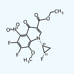 CCOC(=O)c1cn([C@@H]2C[C@@H]2F)c2c(OC)c(F)c(F)c([N+](=O)[O-])c2c1=O